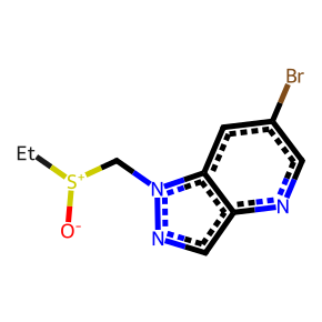 CC[S+]([O-])Cn1ncc2ncc(Br)cc21